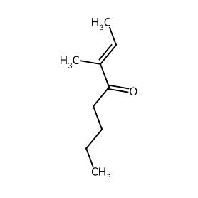 C/C=C(\C)C(=O)CCCC